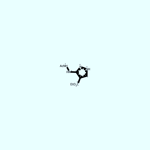 CCOC(=O)c1c[nH]nc1NNC(C)=O